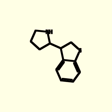 c1ccc2c(c1)SCC2C1CCCN1